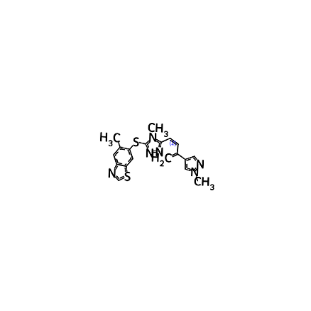 C=C(/C=C\c1nnc(Sc2cc3scnc3cc2C)n1C)c1cnn(C)c1